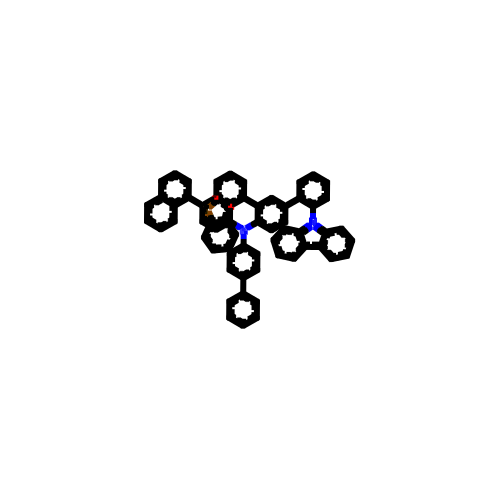 c1ccc(-c2ccc(N(c3ccc(-c4cccc5ccccc45)cc3)c3ccc(-c4ccccc4-n4c5ccccc5c5ccccc54)cc3-c3cccc4sc5ccccc5c34)cc2)cc1